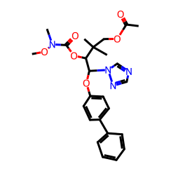 CON(C)C(=O)OC(C(Oc1ccc(-c2ccccc2)cc1)n1cncn1)C(C)(C)COC(C)=O